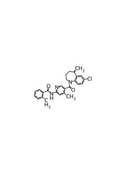 C=C1CCCN(C(=O)c2cnc(NC(=O)c3ccccc3C)cc2C)c2ccc(Cl)cc21